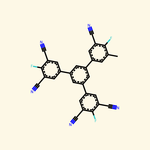 Cc1cc(-c2cc(-c3cc(C#N)c(F)c(C#N)c3)cc(-c3cc(C#N)c(F)c(C#N)c3)c2)cc(C#N)c1F